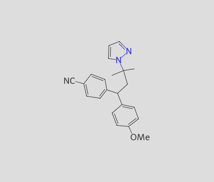 COc1ccc(C(CC(C)(C)n2cccn2)c2ccc(C#N)cc2)cc1